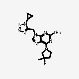 CC(C)(C)c1nc(N2CCC(F)(F)C2)c2ncn(Cc3nnnn3C3CC3)c2n1